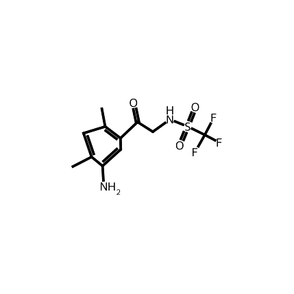 Cc1cc(C)c(C(=O)CNS(=O)(=O)C(F)(F)F)cc1N